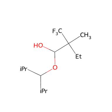 CCC(C)(C(O)OC(C(C)C)C(C)C)C(F)(F)F